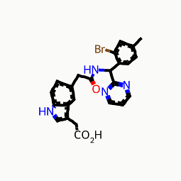 Cc1ccc(C(NC(=O)Cc2ccc3[nH]cc(CC(=O)O)c3c2)c2ncccn2)c(Br)c1